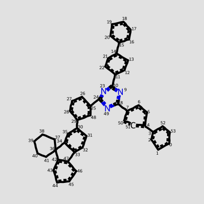 c1ccc(-c2ccc(-c3nc(-c4ccc(-c5ccccc5)cc4)nc(-c4cccc(-c5ccc6c(c5)C5(CCCCC5)c5ccccc5-6)c4)n3)cc2)cc1